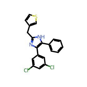 Clc1cc(Cl)cc(-c2nc(Cc3ccsc3)[nH]c2-c2ccccc2)c1